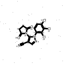 N#Cc1cnn(-c2ccc(Cl)c(Cl)c2Cl)c1N1C(=O)CCC1=O